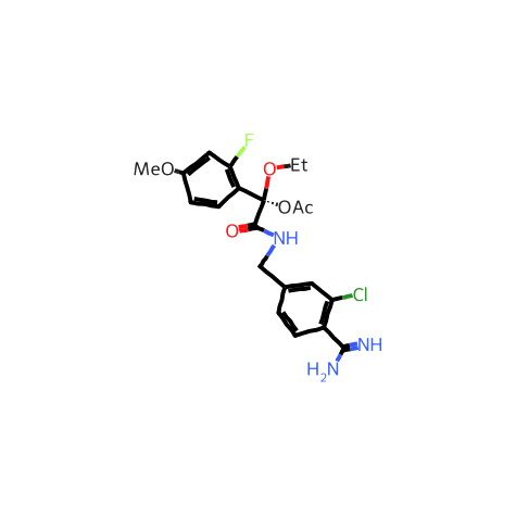 CCO[C@@](OC(C)=O)(C(=O)NCc1ccc(C(=N)N)c(Cl)c1)c1ccc(OC)cc1F